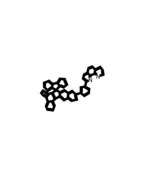 c1cc(-c2ccc3cc4c(cc3c2)C2(c3ccccc3-c3ccccc32)c2c-4c3ccccc3c3ccccc23)cc(-c2ccc3ccc4cccnc4c3n2)c1